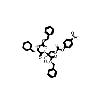 C[C@@](COC(=O)Oc1ccc([N+](=O)[O-])cc1)(NC(=O)[C@H](CC1CCCCC1)NC(=O)OCc1ccccc1)C(=O)OCc1ccccc1